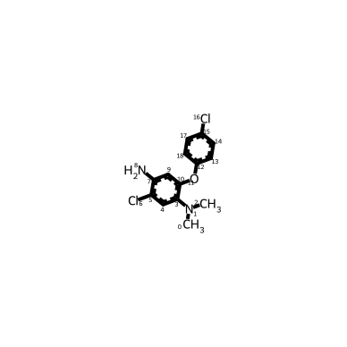 CN(C)c1cc(Cl)c(N)cc1Oc1ccc(Cl)cc1